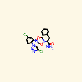 NC(=O)C(Cc1ccccc1)N1CON(c2cc(Cl)ccc2-n2cc(Cl)nn2)CO1